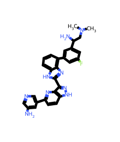 CN(C)CC(N)c1cc(F)cc(-c2cccc3[nH]c(-c4n[nH]c5ccc(-c6cncc(N)c6)nc45)nc23)c1